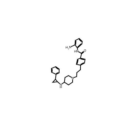 Nc1ccccc1NC(=O)c1ccc(CCCN2CCC(NC3CC3c3ccccc3)CC2)cc1